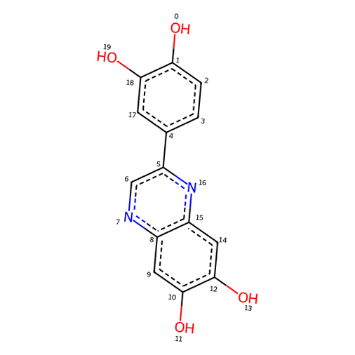 Oc1ccc(-c2cnc3cc(O)c(O)cc3n2)cc1O